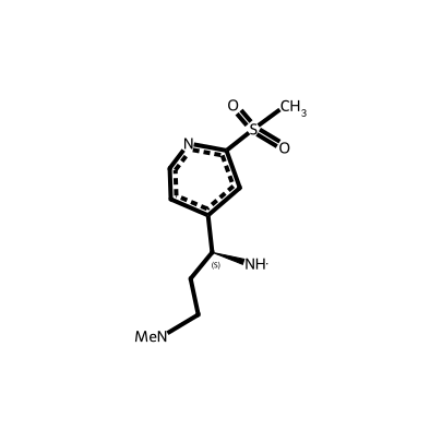 CNCC[C@H]([NH])c1ccnc(S(C)(=O)=O)c1